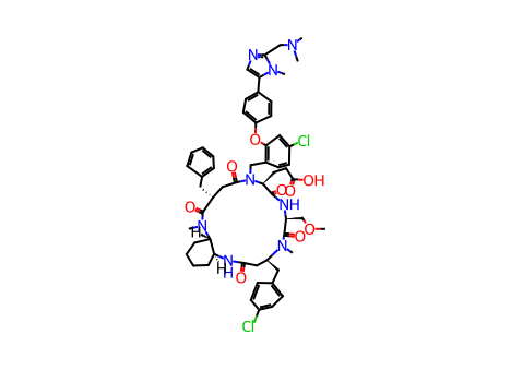 COC[C@@H]1NC(=O)[C@H](CCC(=O)O)N(Cc2ccc(Cl)cc2Oc2ccc(-c3cnc(CN(C)C)n3C)cc2)C(=O)C[C@@H](Cc2ccccc2)C(=O)N(C)[C@H]2CCCC[C@@H]2NC(=O)C[C@H](Cc2ccc(Cl)cc2)N(C)C1=O